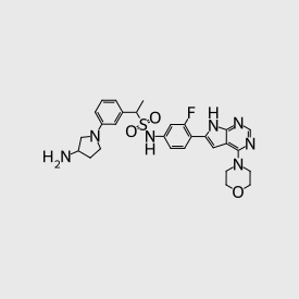 CC(c1cccc(N2CCC(N)C2)c1)S(=O)(=O)Nc1ccc(-c2cc3c(N4CCOCC4)ncnc3[nH]2)c(F)c1